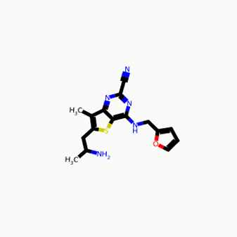 Cc1c(CC(C)N)sc2c(NCc3ccco3)nc(C#N)nc12